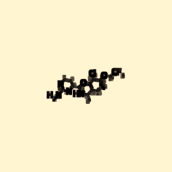 CC(NC(=O)c1ccnc(N)n1)c1cnc(OCC(F)(F)F)c(Cl)c1